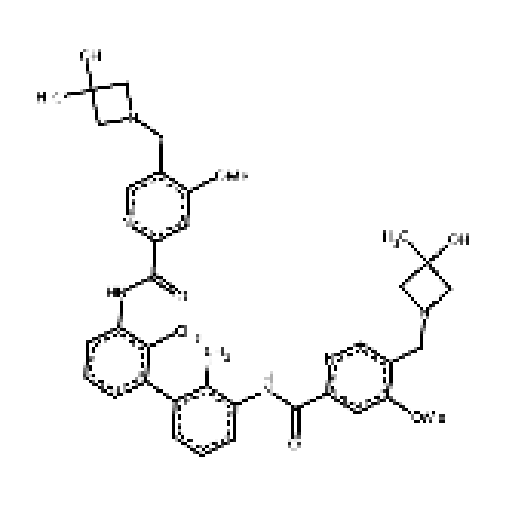 COc1cc(C(=O)Nc2cccc(-c3cccc(NC(=O)c4cc(OC)c(CN5CC(C)(O)C5)cn4)c3C)c2C)ncc1CN1CC(C)(O)C1